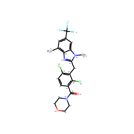 Cc1cc(C(F)(F)F)cc2c1nc(Cc1c(Cl)ccc(C(=O)N3CCOCC3)c1Cl)n2C